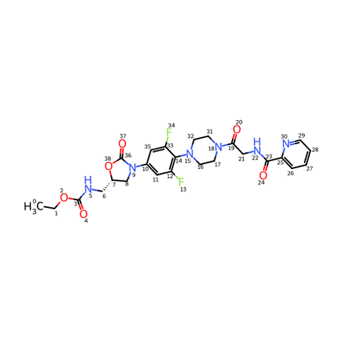 CCOC(=O)NC[C@H]1CN(c2cc(F)c(N3CCN(C(=O)CNC(=O)c4ccccn4)CC3)c(F)c2)C(=O)O1